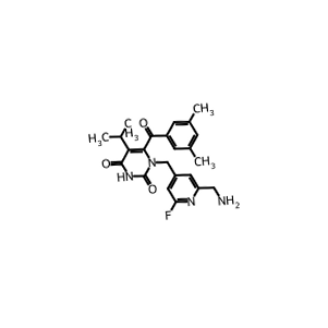 Cc1cc(C)cc(C(=O)c2c(C(C)C)c(=O)[nH]c(=O)n2Cc2cc(F)nc(CN)c2)c1